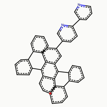 c1ccc(-c2ccccc2-c2c3ccccc3c(-c3ccccc3-c3ccccc3)c3cc(-c4ccc(-c5cccnc5)nc4)ccc23)cc1